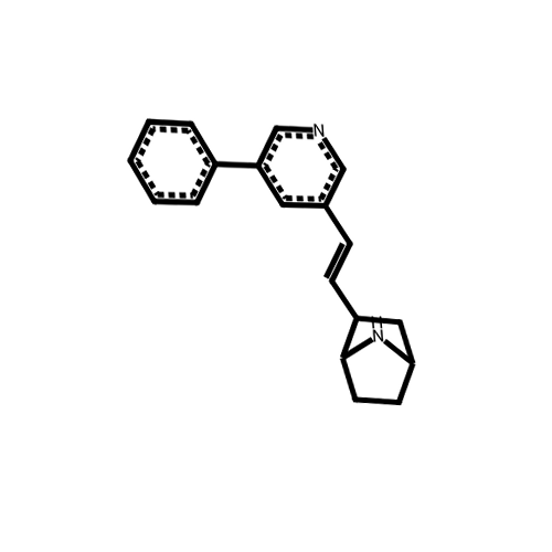 C(=C\C1CC2CCC1N2)/c1cncc(-c2ccccc2)c1